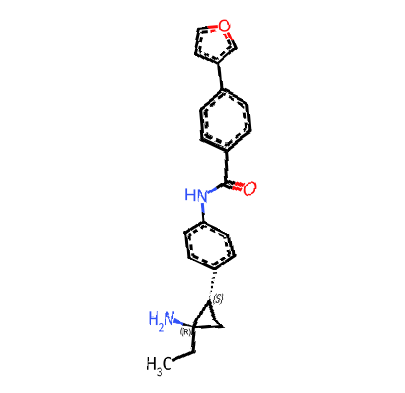 CC[C@@]1(N)C[C@H]1c1ccc(NC(=O)c2ccc(-c3ccoc3)cc2)cc1